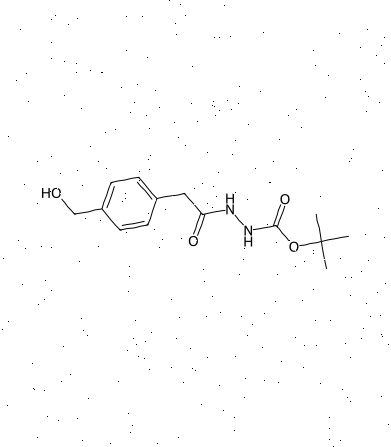 CC(C)(C)OC(=O)NNC(=O)Cc1ccc(CO)cc1